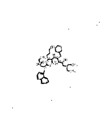 CCCC[C@H](NC(=O)[C@H](Cc1cccc2ccccc12)CS(=O)(=O)CC)C(=O)N[C@@H](CC1CCCCC1)[C@@H](O)[C@@H](O)CN(CC)CC